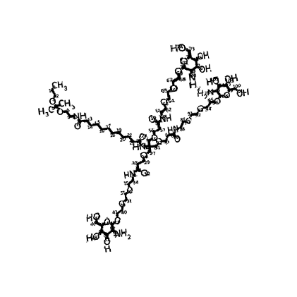 CCCOC(C)(C)OCCNC(=O)CCCCCCCCCCC(=O)NC(COCCC(=O)NCCOCCOCCOC1OC(CO)C(O)C(O)C1N)(COCCC(=O)NCCOCCOCCOC1OC(CO)C(O)C(O)C1N)COCCC(=O)NCCOCCOCCOC1OC(CO)C(O)C(O)C1N